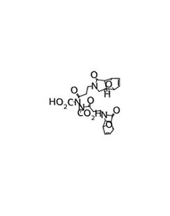 O=C1C2C3C=CC(O3)[C@@H]2CN1CCC(=O)N(C(=O)O)N(C(=O)O)C(=O)CCN1C(=O)C2C3C=CC(O3)C21